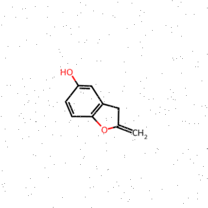 C=C1Cc2cc(O)ccc2O1